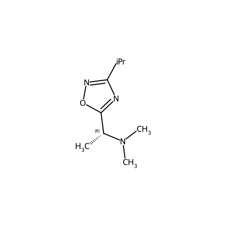 CC(C)c1noc([C@@H](C)N(C)C)n1